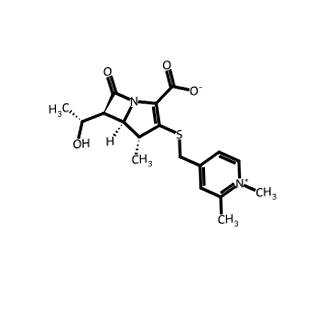 Cc1cc(CSC2=C(C(=O)[O-])N3C(=O)[C@H]([C@@H](C)O)[C@@H]3[C@H]2C)cc[n+]1C